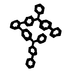 c1ccc(-c2ccc(C(c3ccccc3)c3ccc(-c4ccccc4-c4ccc(N(c5ccccc5)c5ccc(-c6ccccc6)cc5)cc4)cc3)cc2)cc1